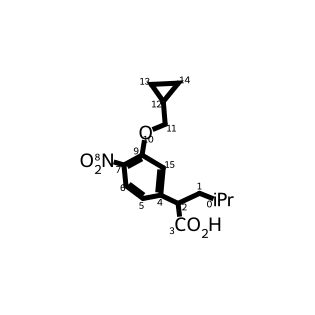 CC(C)CC(C(=O)O)c1ccc([N+](=O)[O-])c(OCC2CC2)c1